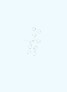 C1=CCCC(c2cccc(N(c3ccc(-c4ccccc4)c(-c4ccccc4)c3)c3cccc4c3Oc3c(ccc5c3-c3ccccc3C53c5ccccc5-c5ccccc53)O4)c2)=C1